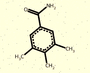 [CH2]c1c(C)cc(C(N)=O)cc1C